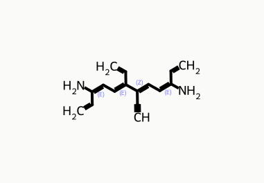 C#CC(=C\C=C(\N)C=C)/C(C=C)=C/C=C(/N)C=C